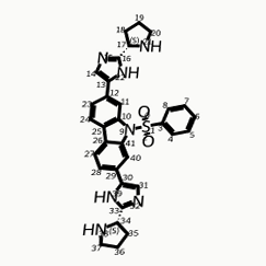 O=S(=O)(c1ccccc1)n1c2cc(-c3cnc([C@@H]4CCCN4)[nH]3)ccc2c2ccc(-c3cnc([C@@H]4CCCN4)[nH]3)cc21